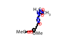 COCCOCOc1ccc(/C=C/C=C/C(=O)N2CCN(CCn3cnc4c3c(=O)n(C)c(=O)n4C)CC2)cc1OC